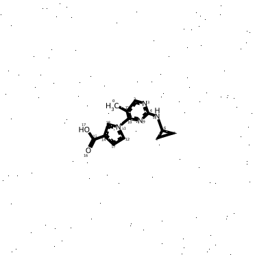 Cc1cnc(NC2CC2)nc1-n1ccc(C(=O)O)c1